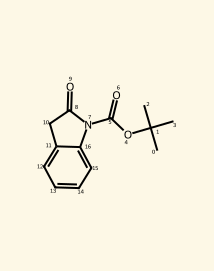 CC(C)(C)OC(=O)N1C(=O)Cc2ccccc21